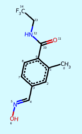 Cc1cc(C=NO)ccc1C(=O)NCC(F)(F)F